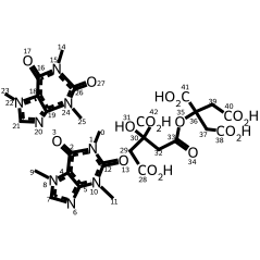 Cn1c(=O)c2c(ncn2C)n(C)c1=O.Cn1c(=O)c2c(ncn2C)n(C)c1=O.O=C(O)CC(O)(CC(=O)OC(CC(=O)O)(CC(=O)O)C(=O)O)C(=O)O